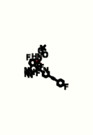 CC(C)(C)OC(=O)NCC(=O)OC1(C(F)(F)c2ccc(C#Cc3ccc(F)cc3)cn2)Cn2nnnc2-c2cc(F)ccc21